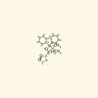 CC(C)(C)[Si](OCC1CCOO1)(c1ccccc1)c1ccccc1